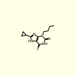 CCCCn1c(=S)[nH]c(=S)c2[nH]c(C3CC3)nc21